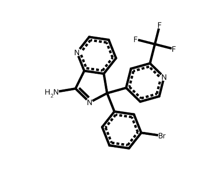 NC1=NC(c2cccc(Br)c2)(c2ccnc(C(F)(F)F)c2)c2cccnc21